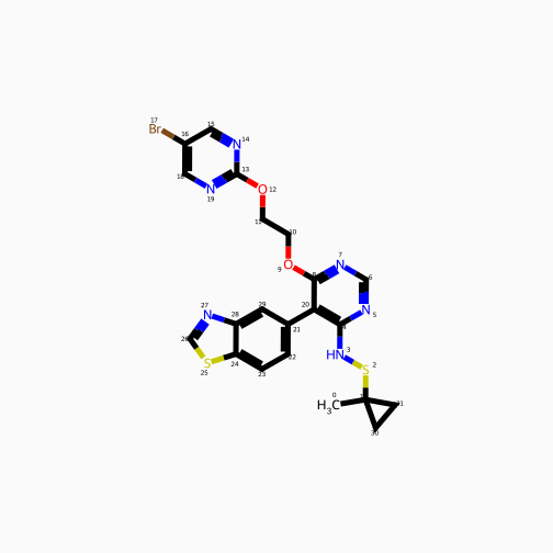 CC1(SNc2ncnc(OCCOc3ncc(Br)cn3)c2-c2ccc3scnc3c2)CC1